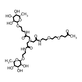 CC(=O)CCOCCOCCNC(=O)CN(CC(=O)NCCO[C@@H]1O[C@@H](C)[C@@H](O)[C@@H](O)[C@@H]1O)CC(=O)NCCO[C@@H]1O[C@@H](C)[C@@H](O)[C@@H](O)[C@@H]1O